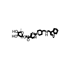 C[C@@H]1O[C@@H](ONC(=O)c2cnc(N3CCC(CNCc4cn(C)c5ccccc45)CC3)nc2)C[C@H](O)[C@@H]1O